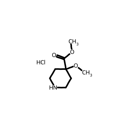 COC(=O)C1(OC)CCNCC1.Cl